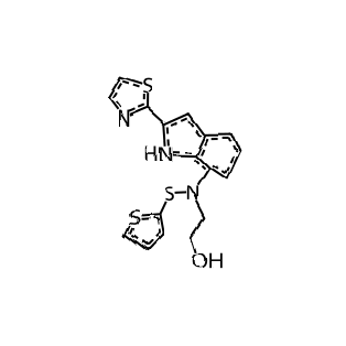 OCCN(Sc1cccs1)c1cccc2cc(-c3nccs3)[nH]c12